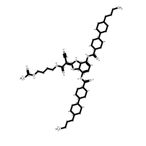 CCCCC1CCC(C2CCC(C(=O)OC3=CC=C(OC(=O)C4CCC(C5CCC(CCCC)CC5)CC4)C4SC(=C(C#N)C(=O)OCCCCOC(C)=O)SC34)CC2)CC1